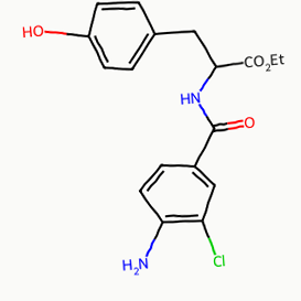 CCOC(=O)C(Cc1ccc(O)cc1)NC(=O)c1ccc(N)c(Cl)c1